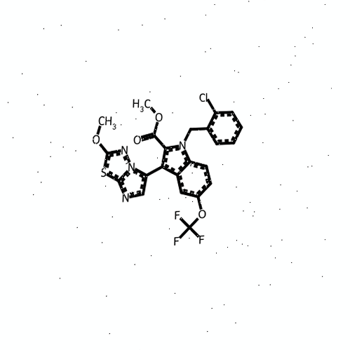 COC(=O)c1c(-c2cnc3sc(OC)nn23)c2cc(OC(F)(F)F)ccc2n1Cc1ccccc1Cl